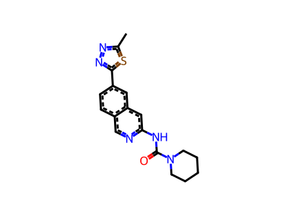 Cc1nnc(-c2ccc3cnc(NC(=O)N4CCCCC4)cc3c2)s1